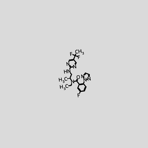 CCN(C(=O)c1cc(F)ccc1-n1nccn1)[C@@H](C)CNc1ncc(C(C)(F)F)cn1